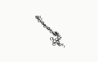 CN1Cc2c(Cl)cc(Cl)cc2[C@H](c2cccc(-c3cn(CCOCCOCCOCCOCCOCCN)nn3)c2)C1